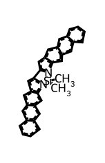 C[Si]1(C)n2c(cc3cc4cc5ccccc5cc4cc32)-c2cc3cc4cc5ccccc5cc4cc3n21